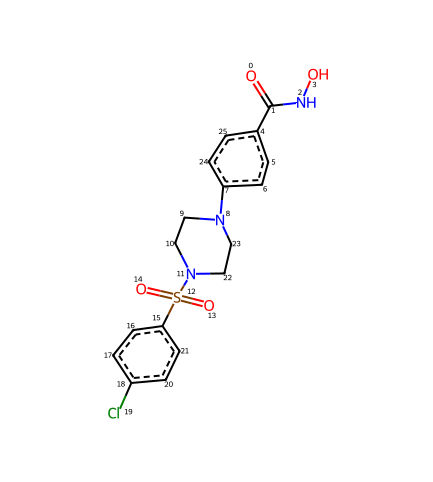 O=C(NO)c1ccc(N2CCN(S(=O)(=O)c3ccc(Cl)cc3)CC2)cc1